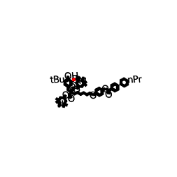 CCC[C@H]1CC[C@H](c2ccc(C(=O)Oc3ccc(OCCCCCCC(Cc4cc(C(C)(C)C)c(O)c(C(C)(C)C)c4)(C(=O)OC4CC(C)(C)N(C)C(C)(C)C4)C(=O)OC4CC(C)(C)N(C)C(C)(C)C4)cc3)cc2)CC1